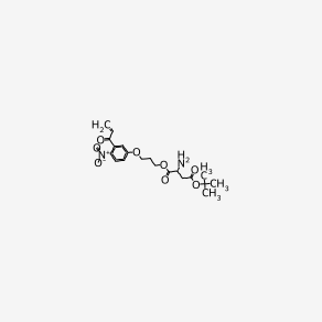 C=CC(=O)c1cc(OCCCOC(=O)[C@@H](N)CC(=O)OC(C)(C)C)ccc1[N+](=O)[O-]